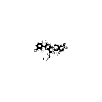 CCOC(=O)c1nc(-c2cccc(Cl)c2Cl)c(C)nc1N1CCC2(CC1)CS(=O)(=O)C[C@H]2N